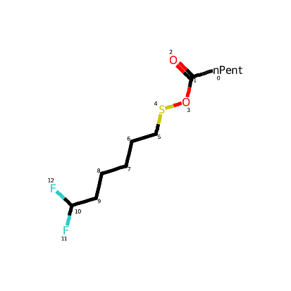 CCCCCC(=O)OSCCCCCC(F)F